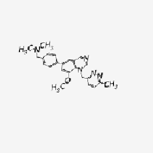 COc1cc(-c2ccc(CN(C)C)cc2)cc2c1N(Cc1ccc(C)nn1)CN=C2